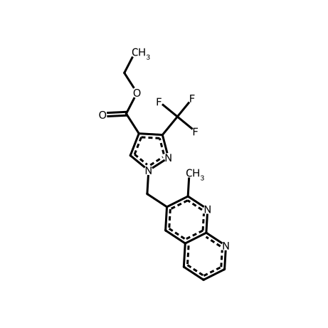 CCOC(=O)c1cn(Cc2cc3cccnc3nc2C)nc1C(F)(F)F